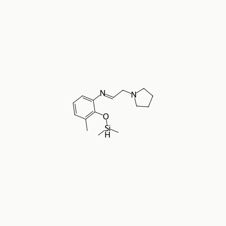 Cc1cccc(N=CCN2CCCC2)c1O[SiH](C)C